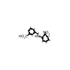 O=C(O)c1cccc(CNc2ccccc2[N+](=O)[O-])c1